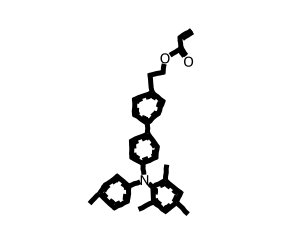 C=CC(=O)OCCc1ccc(-c2ccc(N(c3ccc(C)cc3)c3c(C)cc(C)cc3C)cc2)cc1